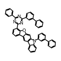 c1ccc(-c2cccc(-c3nc(-c4ccccc4)nc(-c4cccc5c4oc4cc6c(cc45)c4ccccc4n6-c4cccc(-c5ccccc5)c4)n3)c2)cc1